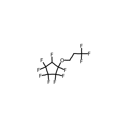 FC1C(F)(F)C(F)(F)C(F)(F)C1(F)OCCC(F)(F)F